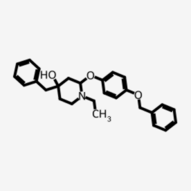 CCN1CCC(O)(Cc2ccccc2)CC1Oc1ccc(OCc2ccccc2)cc1